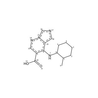 CC1CCCCC1Nc1c(C(=O)O)cnn2cncc12